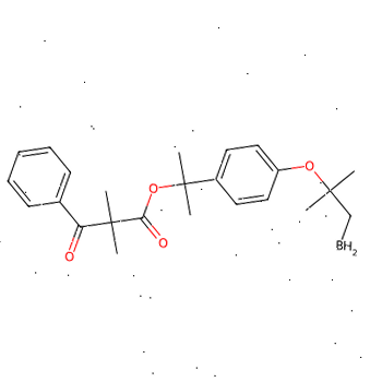 BCC(C)(C)Oc1ccc(C(C)(C)OC(=O)C(C)(C)C(=O)c2ccccc2)cc1